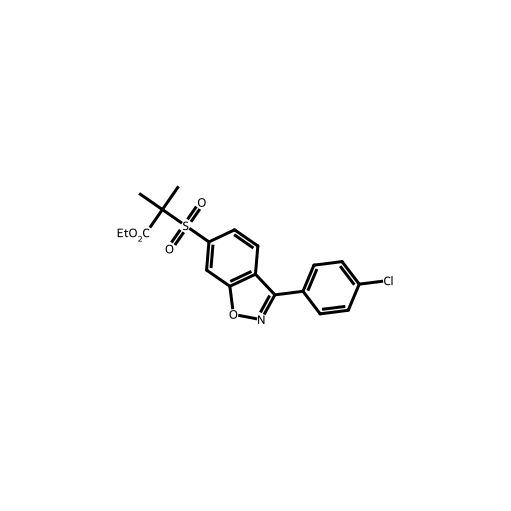 CCOC(=O)C(C)(C)S(=O)(=O)c1ccc2c(-c3ccc(Cl)cc3)noc2c1